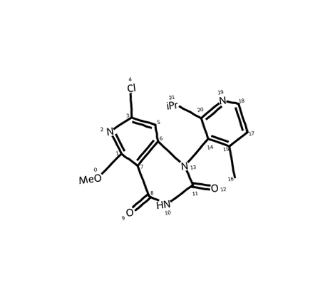 COc1nc(Cl)cc2c1c(=O)[nH]c(=O)n2-c1c(C)ccnc1C(C)C